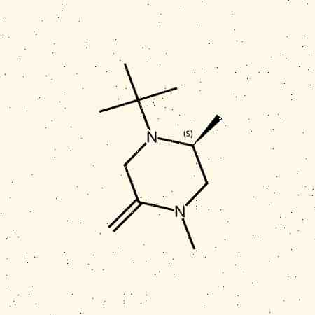 C=C1CN(C(C)(C)C)[C@@H](C)CN1C